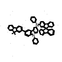 CC1(C)c2ccccc2-c2ccc(-c3ccc4c(c3)c3cc(N(c5ccccc5)c5ccc6c(c5)C5(c7ccccc7-c7ccccc75)c5ccccc5-6)ccc3n4-c3ccccc3)cc21